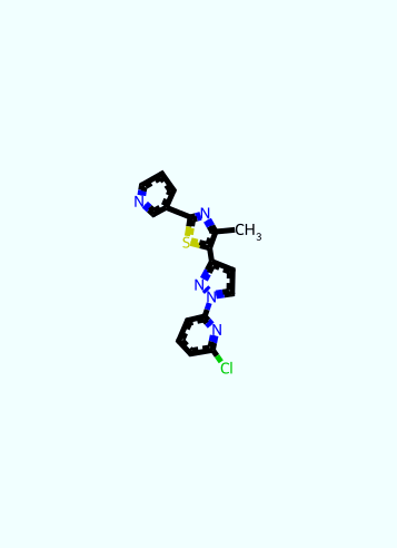 Cc1nc(-c2cccnc2)sc1-c1ccn(-c2cccc(Cl)n2)n1